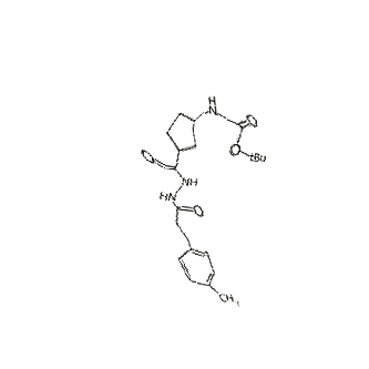 Cc1ccc(CC(=O)NNC(=O)C2CCC(NC(=O)OC(C)(C)C)C2)cc1